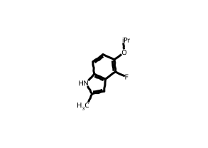 Cc1cc2c(F)c(OC(C)C)ccc2[nH]1